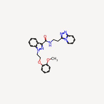 COc1ccccc1OCCn1nc(C(=O)NCCc2nnc3ccccn23)c2ccccc21